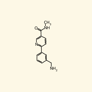 CNC(=O)c1ccc(-c2cccc(CN)c2)nc1